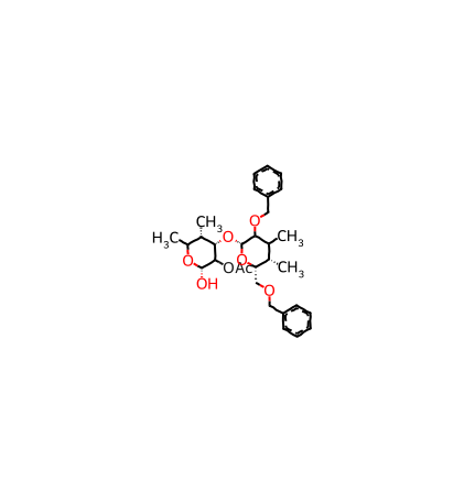 CC(=O)OC1[C@H](O)OC(C)[C@H](C)[C@@H]1O[C@H]1O[C@@H](COCc2ccccc2)[C@@H](C)C(C)C1OCc1ccccc1